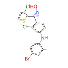 Cc1cc(Br)ccc1Nc1ccc(/C(=N/O)c2sccc2Cl)c(Cl)c1